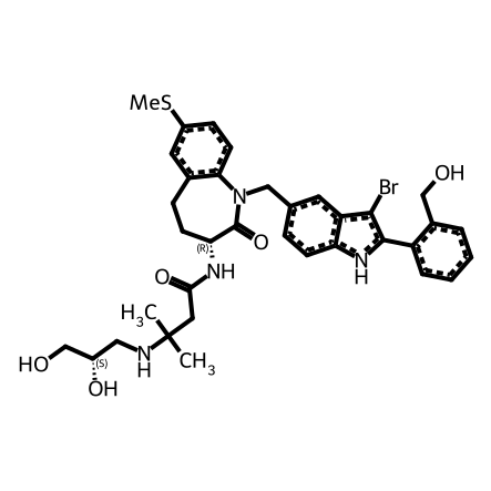 CSc1ccc2c(c1)CC[C@@H](NC(=O)CC(C)(C)NC[C@H](O)CO)C(=O)N2Cc1ccc2[nH]c(-c3ccccc3CO)c(Br)c2c1